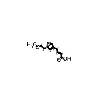 COCCn1cc(C/C=C/C(=O)O)cn1